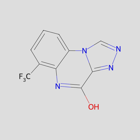 Oc1nc2c(C(F)(F)F)cccc2n2cnnc12